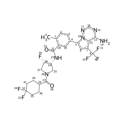 Cc1ccc(-c2cc(C(F)(F)F)c3c(N)ncnn23)cc1C(=O)N[C@@H]1CN(C(=O)C2CCC(F)(F)CC2)C[C@@H]1F